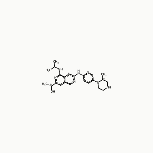 CC(C)Nc1nc([C@@H](C)O)cc2cnc(Nc3ccc(N4CCNC[C@@H]4C)cn3)nc12